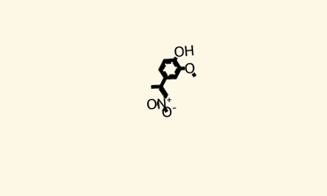 COc1cc(C(C)=C[N+](=O)[O-])ccc1O